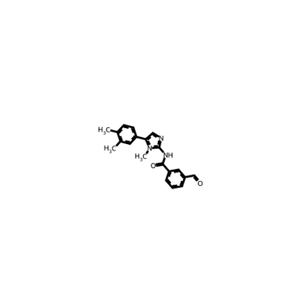 Cc1ccc(-c2cnc(NC(=O)c3cccc(C=O)c3)n2C)cc1C